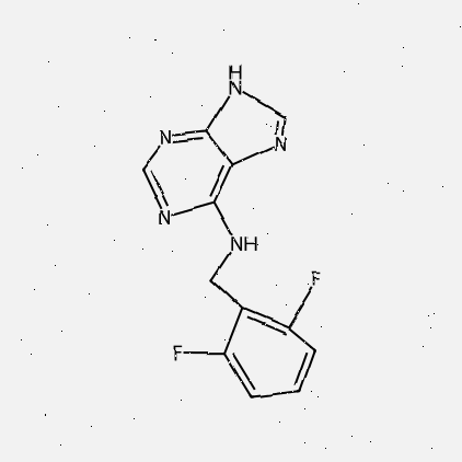 Fc1cccc(F)c1CNc1ncnc2[nH]cnc12